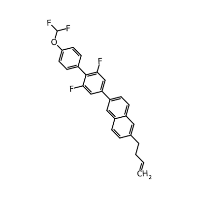 C=CCCc1ccc2cc(-c3cc(F)c(-c4ccc(OC(F)F)cc4)c(F)c3)ccc2c1